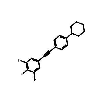 Fc1cc(C#Cc2ccc(C3CCCCC3)cc2)cc(F)c1F